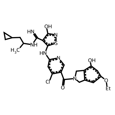 CCOc1cc(O)c2c(c1)CN(C(=O)c1cnc(Nc3snc(O)c3C(=N)NC(C)CC3CC3)cc1Cl)C2